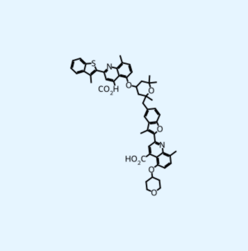 Cc1c(-c2cc(C(=O)O)c3c(OC4CCOCC4)ccc(C)c3n2)oc2ccc(CC3(C)CC(Oc4ccc(C)c5nc(-c6sc7ccccc7c6C)cc(C(=O)O)c45)CC(C)(C)O3)cc12